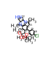 Cc1c([C@H](OC(C)(C)C)C(=O)O)c(-c2ccc(Cl)cc2)c2cc(C)n3c2c1N(C)C1CNCC13